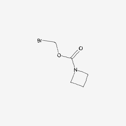 O=C(OCBr)N1CCC1